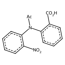 CC(=O)N(c1ccccc1C(=O)O)c1ccccc1[N+](=O)[O-]